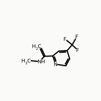 C=C(NC)c1cc(C(F)(F)F)ccn1